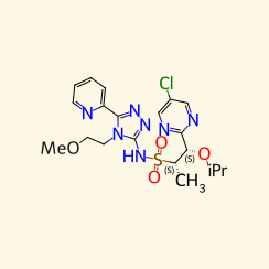 COCCn1c(NS(=O)(=O)[C@@H](C)[C@@H](OC(C)C)c2ncc(Cl)cn2)nnc1-c1ccccn1